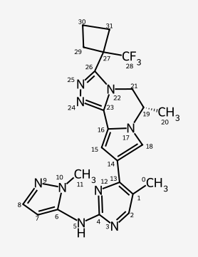 Cc1cnc(Nc2ccnn2C)nc1-c1cc2n(c1)[C@@H](C)Cn1c-2nnc1C1(C(F)(F)F)CCC1